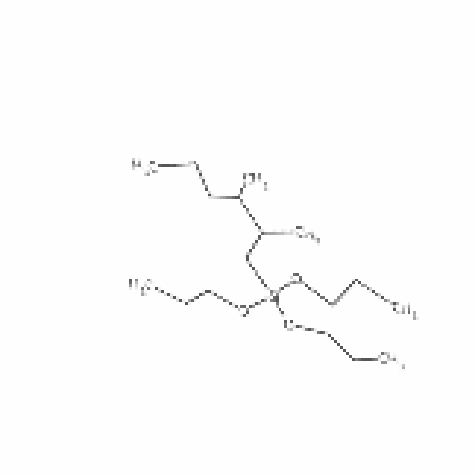 CCCO[Si](CC(C)C(C)CCC)(OCCC)OCCC